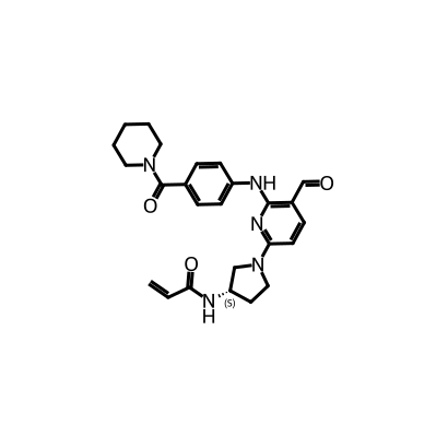 C=CC(=O)N[C@H]1CCN(c2ccc(C=O)c(Nc3ccc(C(=O)N4CCCCC4)cc3)n2)C1